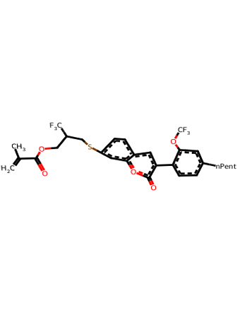 C=C(C)C(=O)OCC(CSc1ccc2cc(-c3ccc(CCCCC)cc3OC(F)(F)F)c(=O)oc2c1)C(F)(F)F